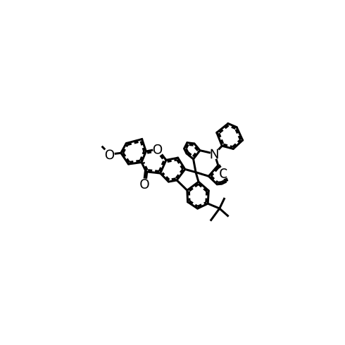 COc1ccc2oc3cc4c(cc3c(=O)c2c1)-c1ccc(C(C)(C)C)cc1C41c2ccccc2N(c2ccccc2)c2ccccc21